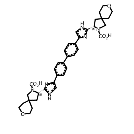 O=C(O)N1CC2(CCOCC2)C[C@H]1c1nc(-c2ccc(-c3ccc(-c4c[nH]c([C@@H]5CC6(CCOCC6)CN5C(=O)O)n4)cc3)cc2)c[nH]1